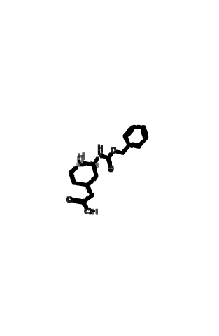 O=C(O)CC1CCN[C@@H](NC(=O)OCc2ccccc2)C1